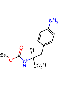 CC[C@@](Cc1ccc(N)cc1)(NC(=O)OC(C)(C)C)C(=O)O